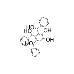 Oc1cc(C(O)c2ccccc2)c(C(O)c2ccccc2)c(C(O)c2ccccc2)c1O